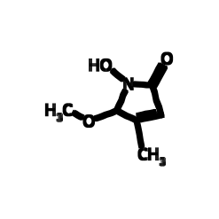 COC1C(C)=CC(=O)N1O